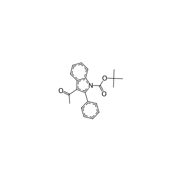 CC(=O)c1c(-c2ccccc2)n(C(=O)OC(C)(C)C)c2ccccc12